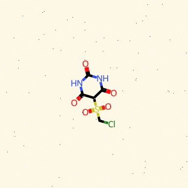 O=C1NC(=O)C(S(=O)(=O)CCl)C(=O)N1